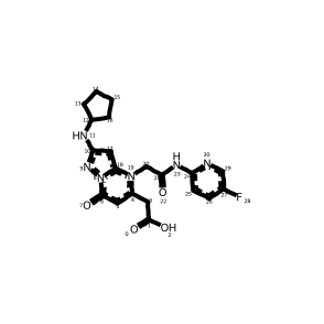 O=C(O)Cc1cc(=O)n2nc(NC3CCCC3)cc2n1CC(=O)Nc1ccc(F)cn1